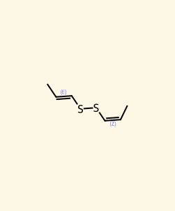 C/C=C\SS/C=C/C